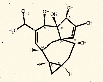 C[C](C)C1=C[C@H]2C[C@@]3(C=C(C)[C@H](O)[C@@]3(O)[C@@H]1O)[C@H](C)C[C@H]1C[C@H]12